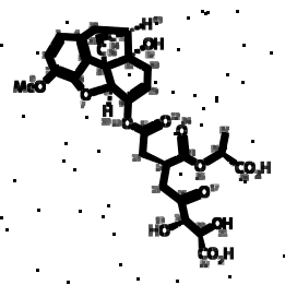 COc1ccc2c3c1O[C@@H]1C(OC(=O)C[C@H](CC(=O)[C@H](O)[C@@H](O)C(=O)O)C(=O)O[C@@H](C)C(=O)O)=CC[C@]4(O)[C@@H](CCC[C@@]314)C2